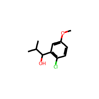 COc1ccc(Cl)c(C(O)C(C)C)c1